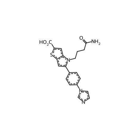 NC(=O)CCCn1c(-c2ccc(-n3ccnc3)cc2)cc2sc(C(=O)O)cc21